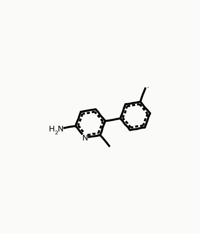 [CH2]c1cccc(-c2ccc(N)nc2C)c1